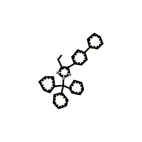 CCc1nn(C(c2ccccc2)(c2ccccc2)c2ccccc2)nc1-c1ccc(-c2ccccc2)cc1